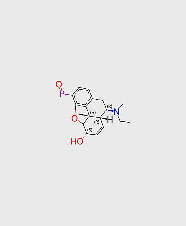 CCN(C)[C@@H]1Cc2ccc(P=O)c3c2[C@@]2(C)C(O3)[C@@H](O)C=C[C@@H]12